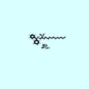 CCCCCCCCCCCCC(COC(c1ccccc1)c1ccccc1)N(C)C.O=S(=O)(O)O